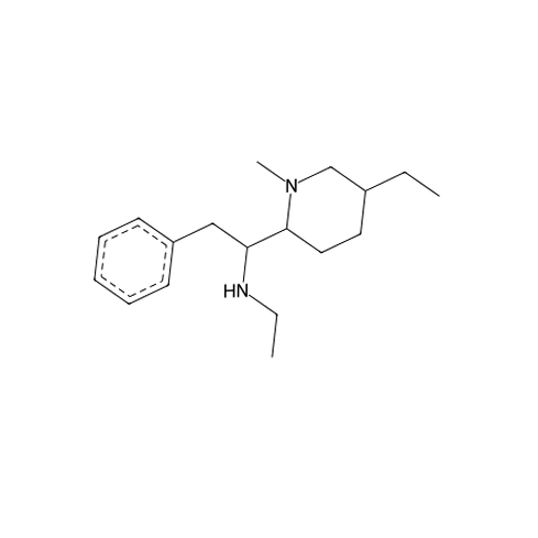 CCNC(Cc1ccccc1)C1CCC(CC)CN1C